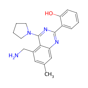 Cc1cc(CN)c2c(N3CCCC3)nc(-c3ccccc3O)nc2c1